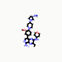 CCc1nc2c(N)ncc(-c3ccc(N4CCC(N5CC[C@@H](NC)C5)CC4)c(OC)c3)c2nc1NC1CCOCC1